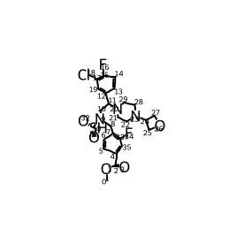 COC(=O)c1ccc(CN(CC(c2ccc(F)c(Cl)c2)N2CCN(C3COC3)CC2)[SH](=O)=O)c(F)c1